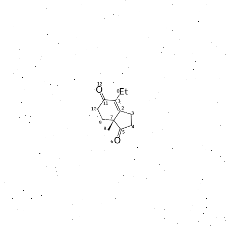 CCC1=C2CCC(=O)[C@]2(C)CCC1=O